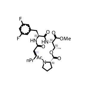 CCC/C=C/C(=O)N[C@@H](Cc1cc(F)cc(F)c1)C(=O)N[C@H](C(=O)OC)[C@H](C)OC(=O)[C@@H]1CCCN1C(C)=O